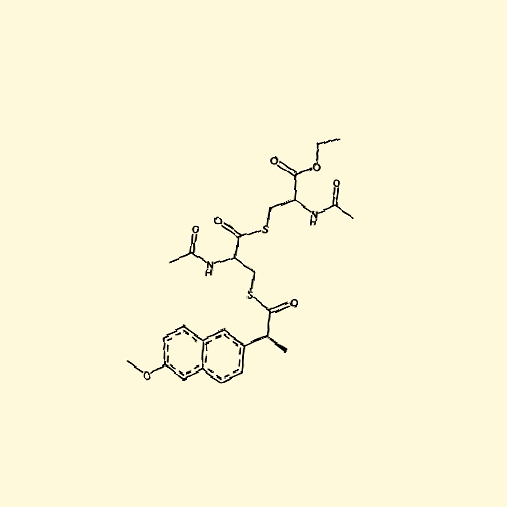 CCOC(=O)C(CSC(=O)C(CSC(=O)[C@@H](C)c1ccc2cc(OC)ccc2c1)NC(C)=O)NC(C)=O